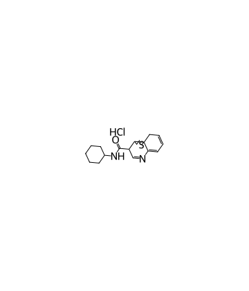 Cl.O=C(NC1CCCCC1)C1C=NC2=CC=CCC23SCCC13